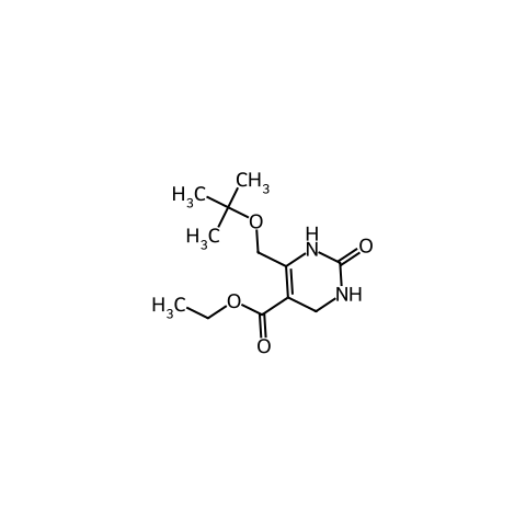 CCOC(=O)C1=C(COC(C)(C)C)NC(=O)NC1